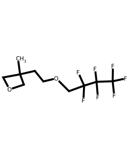 CC1(CCOCC(F)(F)C(F)(F)C(F)(F)F)COC1